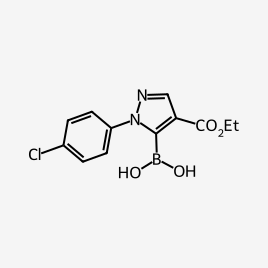 CCOC(=O)c1cnn(-c2ccc(Cl)cc2)c1B(O)O